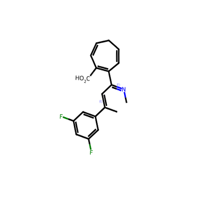 C/N=C(\C=C(/C)c1cc(F)cc(F)c1)C1=C(C(=O)O)C=CCC=C1